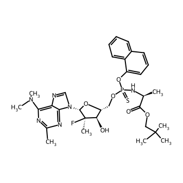 Cc1nc(N(C)C)c2ncn([C@@H]3O[C@H](COP(=S)(N[C@@H](C)C(=O)OCC(C)(C)C)Oc4cccc5ccccc45)[C@@H](O)[C@@]3(C)F)c2n1